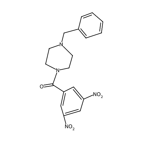 O=C(c1cc([N+](=O)[O-])cc([N+](=O)[O-])c1)N1CCN(Cc2ccccc2)CC1